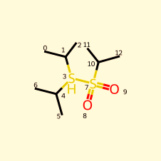 CC(C)[SH](C(C)C)S(=O)(=O)C(C)C